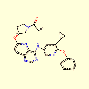 C=CC(=O)N1CC[C@H](Oc2ccc3ncnc(Nc4cnc(Oc5ccccc5)c(C5CC5)c4)c3n2)C1